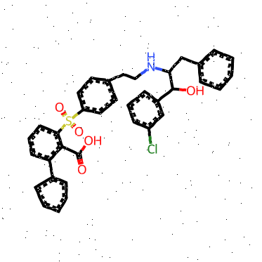 O=C(O)c1c(-c2ccccc2)cccc1S(=O)(=O)c1ccc(CCNC(Cc2ccccc2)C(O)c2cccc(Cl)c2)cc1